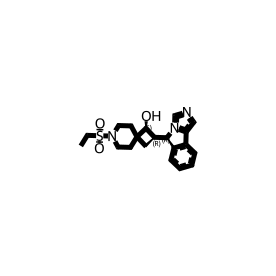 CCS(=O)(=O)N1CCC2(CC1)C[C@H]([C@@H]1c3ccccc3-c3cncn31)[C@@H]2O